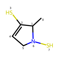 CC1C(S)=CCN1S